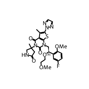 COCCO[C@@H](Cn1c(=O)n(C2(C)CNC(=O)C2)c(=O)c2c(C)c(-n3nccn3)sc21)c1cc(F)ccc1OC